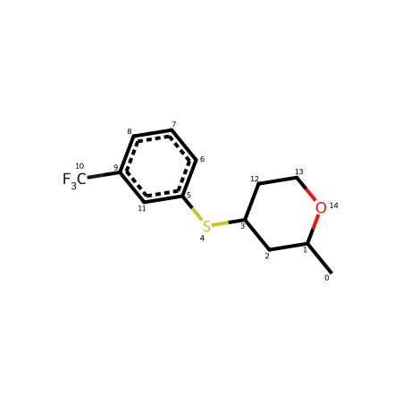 CC1CC(Sc2cccc(C(F)(F)F)c2)CCO1